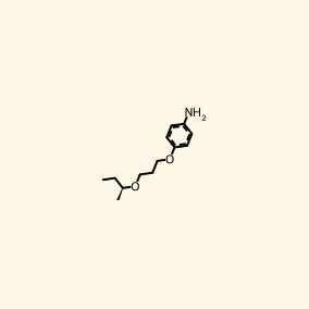 CC[C@H](C)OCCCOc1ccc(N)cc1